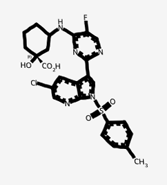 Cc1ccc(S(=O)(=O)n2cc(-c3ncc(F)c(NC4CCC[C@](O)(C(=O)O)C4)n3)c3cc(Cl)cnc32)cc1